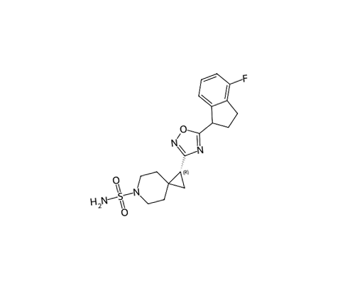 NS(=O)(=O)N1CCC2(CC1)C[C@H]2c1noc(C2CCc3c(F)cccc32)n1